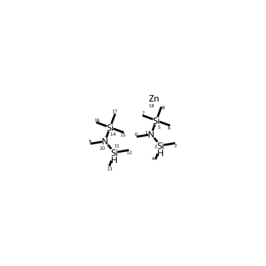 CN([SiH](C)C)[Si](C)(C)C.CN([SiH](C)C)[Si](C)(C)C.[Zn]